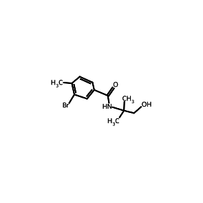 Cc1ccc(C(=O)NC(C)(C)CO)cc1Br